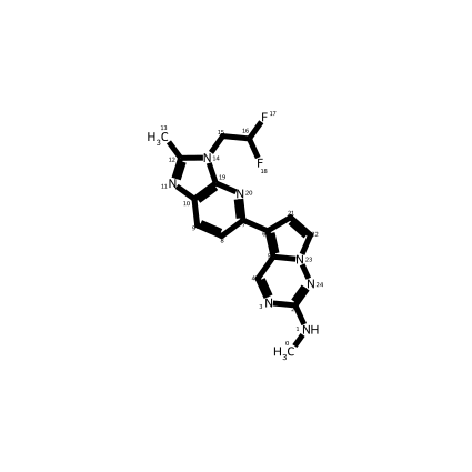 CNc1ncc2c(-c3ccc4nc(C)n(CC(F)F)c4n3)ccn2n1